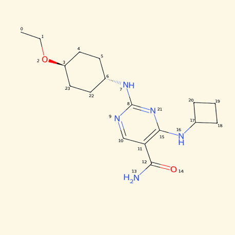 CCO[C@H]1CC[C@H](Nc2ncc(C(N)=O)c(NC3CCC3)n2)CC1